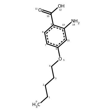 CCCCCOc1ccc(C(=O)O)c(N)c1